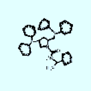 CC(NC(=O)N1CC(P(c2ccccc2)c2ccccc2)CC1CP(c1ccccc1)c1ccccc1)c1ccccc1